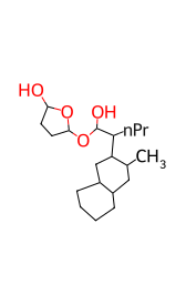 CCCC(C(O)OC1CCC(O)O1)C1CC2CCCCC2CC1C